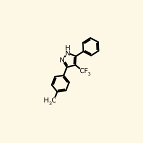 Cc1ccc(-c2n[nH]c(-c3ccccc3)c2C(F)(F)F)cc1